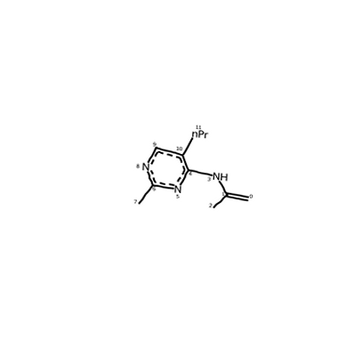 C=C(C)Nc1nc(C)ncc1CCC